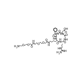 C[C@@H](c1ccccc1)[C@@H]1NC(=O)[C@@H](CC(=O)O)NC(=O)CNC(=O)[C@H](CCCNC(=N)N)NC(=O)C(CCCCNC(=O)COCCOCCNC(=O)COCCOCCN)NC1=O